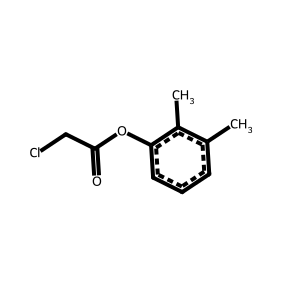 Cc1cccc(OC(=O)CCl)c1C